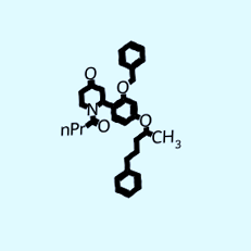 CCCC(=O)N1CCC(=O)CC1c1ccc(OC(C)CCCc2ccccc2)cc1OCc1ccccc1